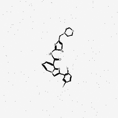 O=C(Nc1nc(CN2CCOCC2)cs1)c1cccn2cc(-c3cc(F)ccc3F)nc12